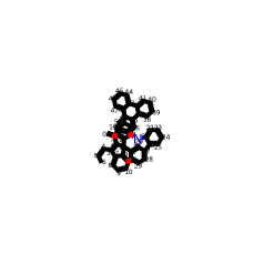 C=C(C1=C(/C=C\C)c2ccccc2C12c1ccccc1-n1c3ccccc3c3cccc2c31)c1ccc2c3ccccc3c3ccccc3c2c1